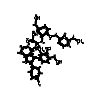 CSc1nccc(COc2ccc(CO)cc2C[C@H](Oc2ncnc3sc(-c4ccc(F)cc4)c(-c4ccc(CO)c(Cl)c4C)c23)C(=O)O)n1